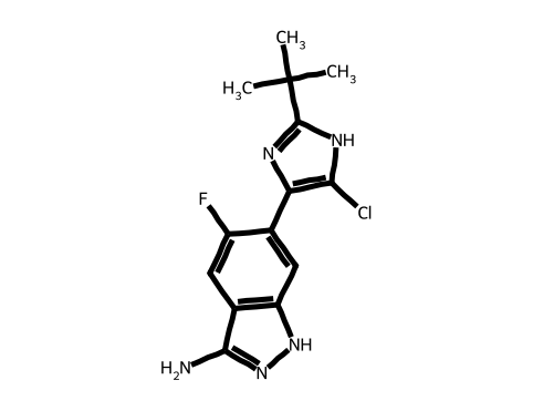 CC(C)(C)c1nc(-c2cc3[nH]nc(N)c3cc2F)c(Cl)[nH]1